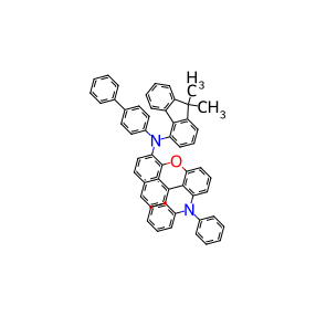 CC1(C)c2ccccc2-c2c(N(c3ccc(-c4ccccc4)cc3)c3ccc4cccc5c4c3Oc3cccc(N(c4ccccc4)c4ccccc4)c3-5)cccc21